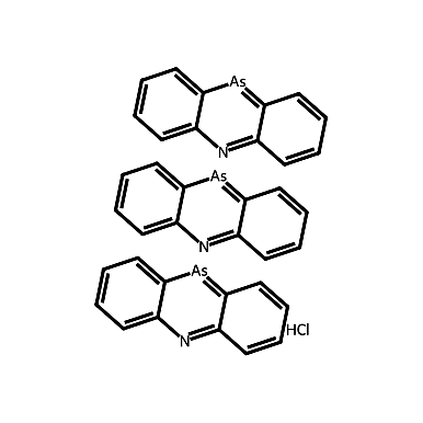 Cl.c1ccc2c(c1)N=c1ccccc1=[As]2.c1ccc2c(c1)N=c1ccccc1=[As]2.c1ccc2c(c1)N=c1ccccc1=[As]2